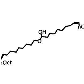 CCCCCCCC/C=C\CCCCCCCCOC(O)CCCCCCC/C=C\CCCCCCCC